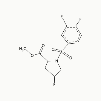 COC(=O)C1CC(F)CN1S(=O)(=O)c1ccc(F)c(F)c1